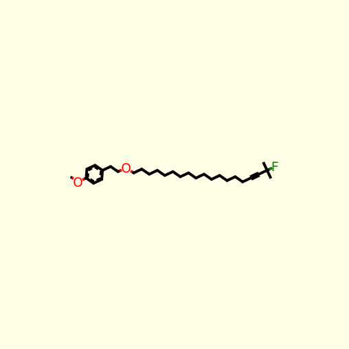 COc1ccc(CCOCCCCCCCCCCCCCCCC#CC(C)(C)F)cc1